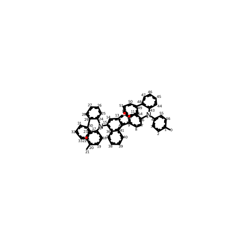 Cc1ccc(N(c2ccc3c(c2)sc2cc(N(c4ccc(C)cc4)c4ccccc4-c4ccccc4)c4ccccc4c23)c2ccccc2-c2ccccc2)cc1